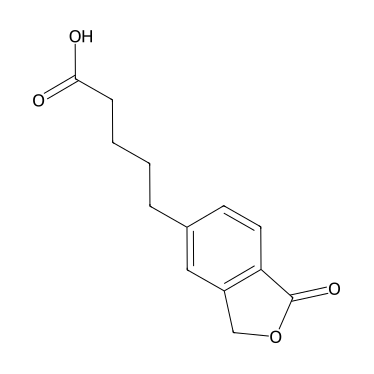 O=C(O)CCCCc1ccc2c(c1)COC2=O